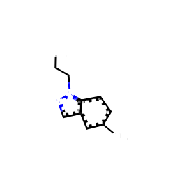 CCCn1ncc2cc(C)ccc21